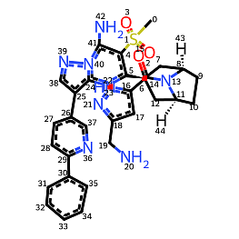 CS(=O)(=O)c1c([C@H]2C[C@H]3CC[C@@H](C2)N3C(=O)c2cc(CN)n[nH]2)nc2c(-c3ccc(-c4ccccc4)nc3)cnn2c1N